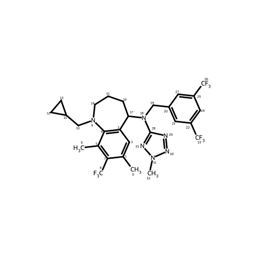 Cc1cc2c(c(C)c1C(F)(F)F)N(CC1CC1)CCCC2N(Cc1cc(C(F)(F)F)cc(C(F)(F)F)c1)c1nnn(C)n1